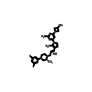 Cc1c(C=CCN2CCN(c3cc(F)cc(F)c3)C[C@H]2C)cnn1-c1cc(N2CC(O)C2)nc(N)n1.Cl